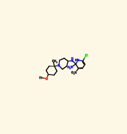 CCOC1CCC(C)(N2CCC(NC3(N)NC(Cl)=CC=C3[N+](=O)[O-])CC2)CC1